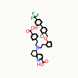 O=C(O)c1ccc(CCN(CCc2ccccc2OCc2ccc(-c3ccc(C(F)(F)F)cc3)cc2Cl)[C@@H]2CCCc3nc(C(=O)O)ccc32)cc1